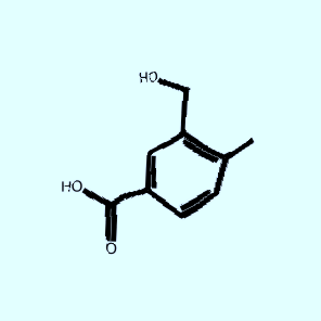 Cc1ccc(C(=O)O)cc1CO